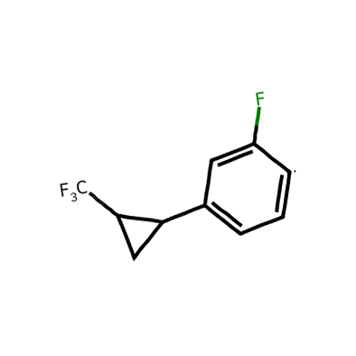 Fc1[c]ccc(C2CC2C(F)(F)F)c1